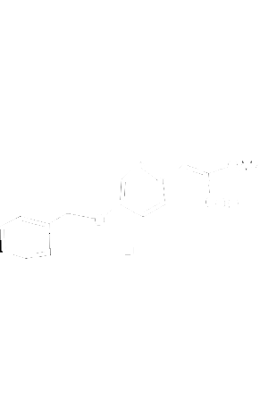 COC(=Cc1ccc(OCc2ccccc2)cc1)C(=O)[O-].[Li+]